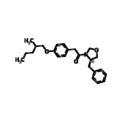 CCCC(C)COc1ccc(CC(=O)N2COC[C@H]2Cc2ccccc2)cc1